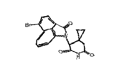 O=C1CC2(CC2)C(N2C(=O)c3ccc(Br)c4cccc2c34)C(=O)N1